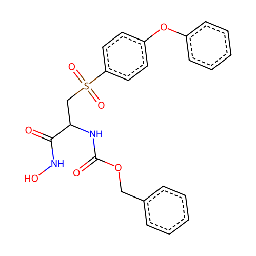 O=C(NC(CS(=O)(=O)c1ccc(Oc2ccccc2)cc1)C(=O)NO)OCc1ccccc1